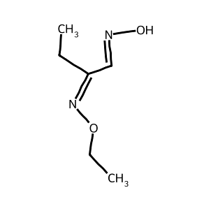 CCON=C(C=NO)CC